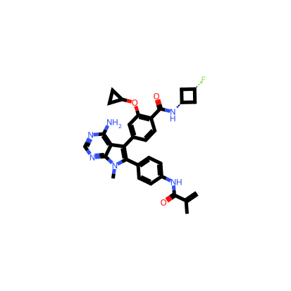 C=C(C)C(=O)Nc1ccc(-c2c(-c3ccc(C(=O)N[C@H]4C[C@@H](F)C4)c(OC4CC4)c3)c3c(N)ncnc3n2C)cc1